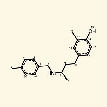 Cc1ccc(CN[C@H](C)CCc2ccc(O)c(C)c2)cc1